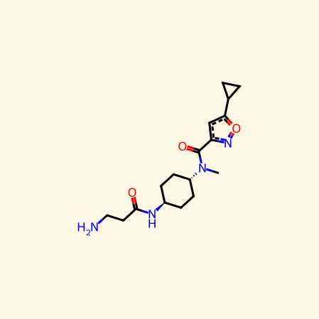 CN(C(=O)c1cc(C2CC2)on1)[C@H]1CC[C@H](NC(=O)CCN)CC1